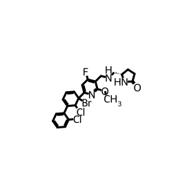 COc1nc(C2(Br)C=CC=C(c3ccccc3Cl)C2Cl)cc(F)c1CNC[C@@H]1CCC(=O)N1